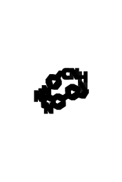 N#CCc1ccc(-n2cnc3cnc4ccc(-c5ccc6[nH]ccc6c5)cc4c32)cc1